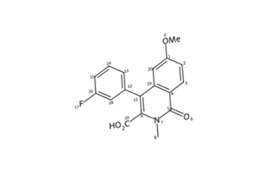 COc1ccc2c(=O)n(C)c(C(=O)O)c(-c3cccc(F)c3)c2c1